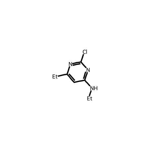 CCNc1cc(CC)nc(Cl)n1